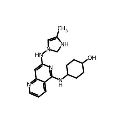 CC1=CN(Nc2cc3ncccc3c(NC3CCC(O)CC3)n2)CN1